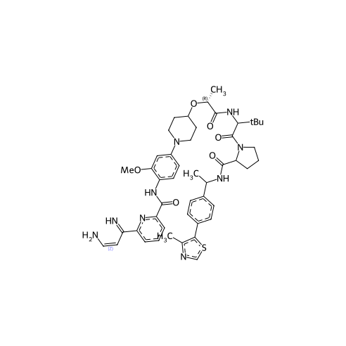 COc1cc(N2CCC(O[C@H](C)C(=O)NC(C(=O)N3CCCC3C(=O)NC(C)c3ccc(-c4scnc4C)cc3)C(C)(C)C)CC2)ccc1NC(=O)c1cccc(C(=N)/C=C\N)n1